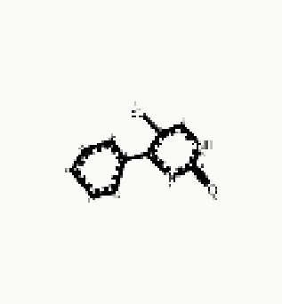 CCc1c[nH]c(=O)nc1-c1ccccc1